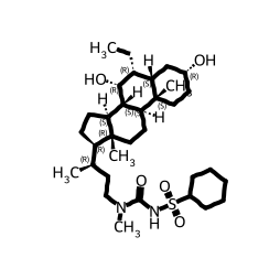 CC[C@H]1[C@@H](O)[C@@H]2[C@H](CC[C@]3(C)[C@@H]([C@H](C)CCN(C)C(=O)NS(=O)(=O)C4CCCCC4)CC[C@@H]23)[C@@]2(C)CC[C@@H](O)C[C@@H]12